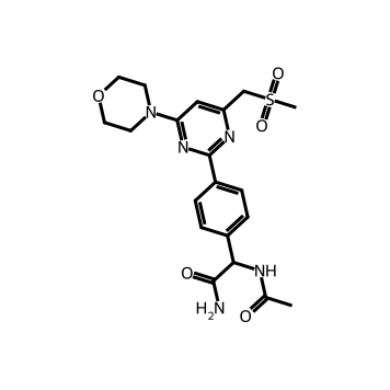 CC(=O)NC(C(N)=O)c1ccc(-c2nc(CS(C)(=O)=O)cc(N3CCOCC3)n2)cc1